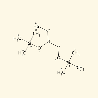 C[Si](C)(C)OCC(CS)O[Si](C)(C)C